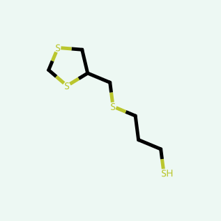 SCCCSCC1CSCS1